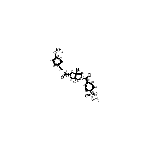 C[C@]12CN(C(=O)OCc3ccc(OC(F)(F)F)cc3)C[C@@H]1CN(C(=O)c1ccc(S(N)(=O)=O)cc1)C2